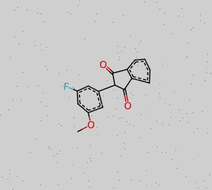 COc1cc(F)cc(C2C(=O)c3ccccc3C2=O)c1